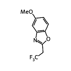 COc1ccc2oc(CC(F)(F)F)nc2c1